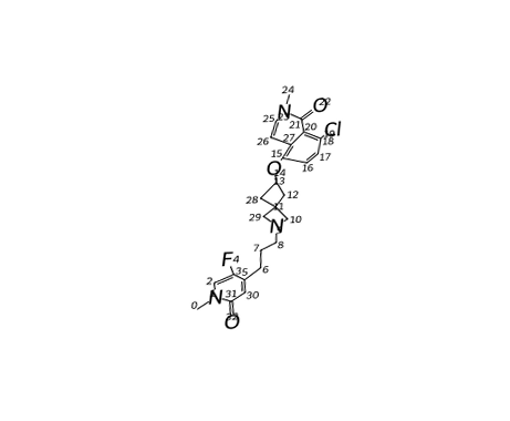 Cn1cc(F)c(CCCN2CC3(CC(Oc4ccc(Cl)c5c(=O)n(C)ccc45)C3)C2)cc1=O